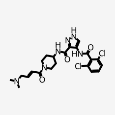 CN(C)C/C=C/C(=O)N1CCC(NC(=O)c2n[nH]cc2NC(=O)c2c(Cl)cccc2Cl)CC1